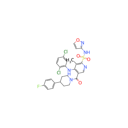 Cc1c(S(=O)(=O)Nc2ccon2)ncc(C(=O)N2CCC(c3ccc(F)cc3)CC2)c1Nc1cc(Cl)ccc1Cl